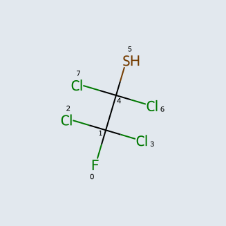 FC(Cl)(Cl)C(S)(Cl)Cl